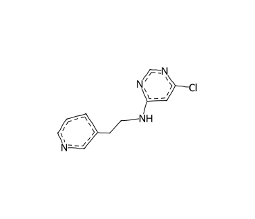 Clc1cc(NCCc2cccnc2)ncn1